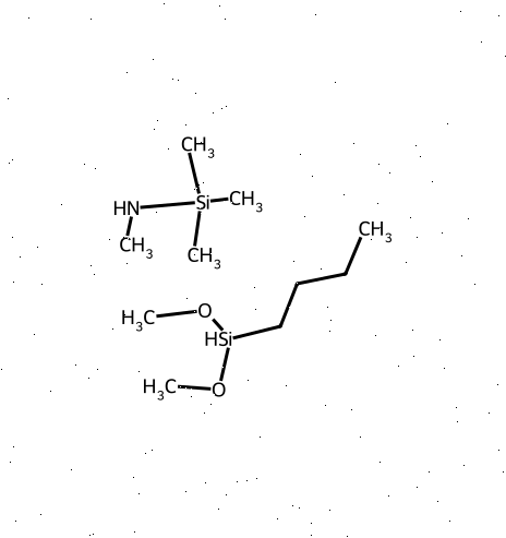 CCCC[SiH](OC)OC.CN[Si](C)(C)C